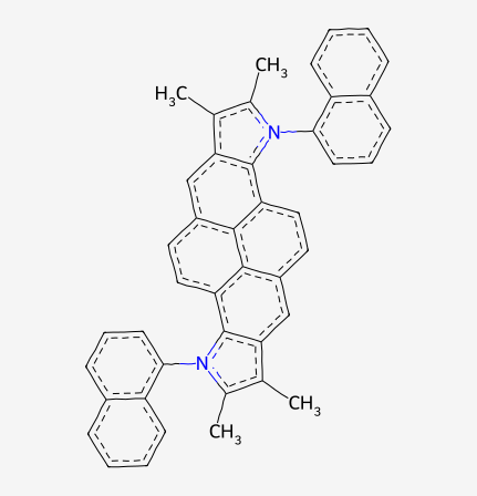 Cc1c(C)n(-c2cccc3ccccc23)c2c1cc1ccc3c4c(ccc2c14)cc1c(C)c(C)n(-c2cccc4ccccc24)c13